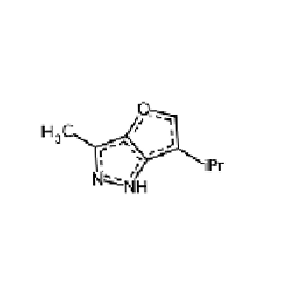 Cc1n[nH]c2c(C(C)C)coc12